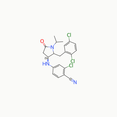 CC(C)N1C(=O)C[C@H](Nc2ccc(C#N)c(Cl)c2)C1Cc1cc(Cl)ccc1Cl